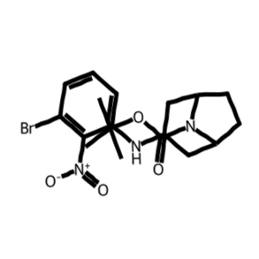 CC(C)(C)OC(=O)N1C2CCC1CC(Nc1cccc(Br)c1[N+](=O)[O-])C2